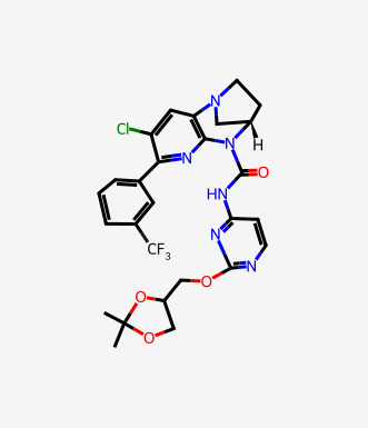 CC1(C)OCC(COc2nccc(NC(=O)N3c4nc(-c5cccc(C(F)(F)F)c5)c(Cl)cc4N4CC[C@H]3C4)n2)O1